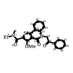 CCN(C)C(=O)c1sc2c(c1OC)c(=O)n(CC(=O)c1ccccc1)c1ccccc21